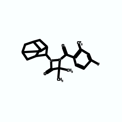 CC1(C)C(=O)N(C2C3CC4CC(C3)CC2C4)N1C(=O)c1ccc(F)cc1C(F)(F)F